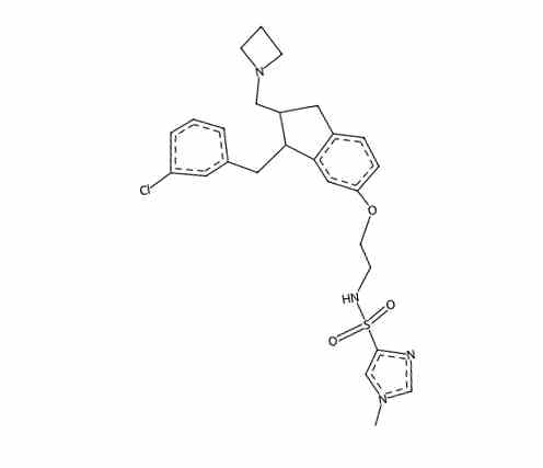 Cn1cnc(S(=O)(=O)NCCOc2ccc3c(c2)C(Cc2cccc(Cl)c2)C(CN2CCC2)C3)c1